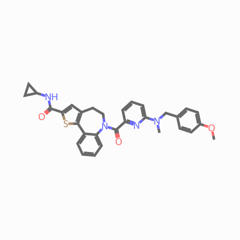 COc1ccc(CN(C)c2cccc(C(=O)N3CCc4cc(C(=O)NC5CC5)sc4-c4ccccc43)n2)cc1